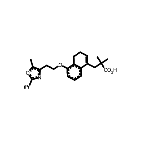 Cc1oc(C(C)C)nc1CCOc1cccc2c1CCC=C2CC(C)(C)C(=O)O